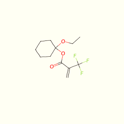 C=C(C(=O)OC1(OCC)CCCCC1)C(F)(F)F